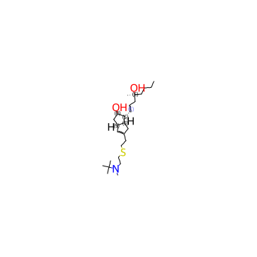 CCCC[C@](C)(O)C/C=C/[C@@H]1[C@H]2CC(CCSCCN(C)C(C)(C)C)=C[C@H]2C[C@H]1O